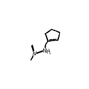 CN(C)NC1=CCCC1